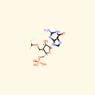 Nc1nc2c(ncn2[C@@H]2O[C@H](COP(=O)(O)O)[C@@H](COC(F)F)[C@H]2O)c(=O)[nH]1